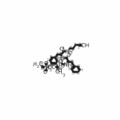 C#CCCCNC(=O)C(Cc1ccc(OS(=O)(=O)C=C)cc1)NC(=O)C(Cc1ccccc1)NC(=O)OC(C)(C)C